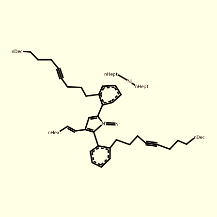 CCCCCCC=CC1=C(c2ccccc2CCCC#CCCCCCCCCCCCCC)[N+](=[N-])C(c2ccccc2CCCC#CCCCCCCCCCCCCC)=C1.CCCCCC[CH2][Ni][CH2]CCCCCC